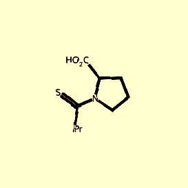 CC(C)C(=S)N1CCCC1C(=O)O